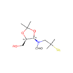 CC(C)(S)CN(C=O)[C@@H]1OC(C)(C)O[C@@H]1CO